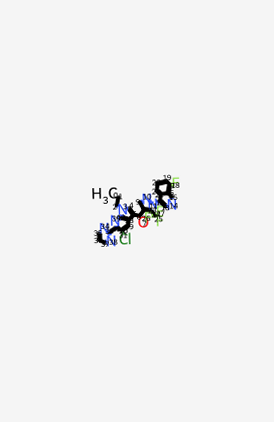 CCCn1cc(C(=O)c2cnn(-c3cncc4c(F)cccc34)c2C(F)(F)F)c2cc(Cl)c(-c3ncccn3)nc21